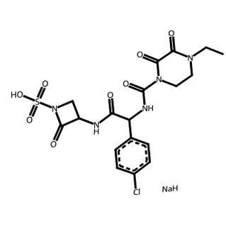 CCN1CCN(C(=O)NC(C(=O)NC2CN(S(=O)(=O)O)C2=O)c2ccc(Cl)cc2)C(=O)C1=O.[NaH]